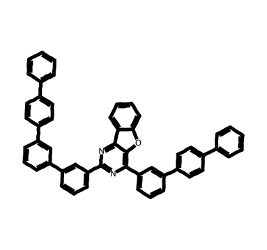 c1ccc(-c2ccc(-c3cccc(-c4cccc(-c5nc(-c6cccc(-c7ccc(-c8ccccc8)cc7)c6)c6oc7ccccc7c6n5)c4)c3)cc2)cc1